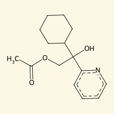 CC(=O)OCC(O)(c1ccccn1)C1CCCCC1